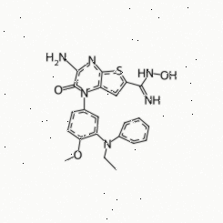 CCN(c1ccccc1)c1cc(-n2c(=O)c(N)nc3sc(C(=N)NO)cc32)ccc1OC